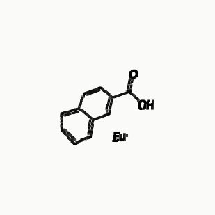 O=C(O)c1ccc2ccccc2c1.[Eu]